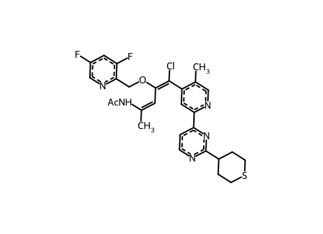 CC(=O)N/C(C)=C\C(OCc1ncc(F)cc1F)=C(\Cl)c1cc(-c2ccnc(C3CCSCC3)n2)ncc1C